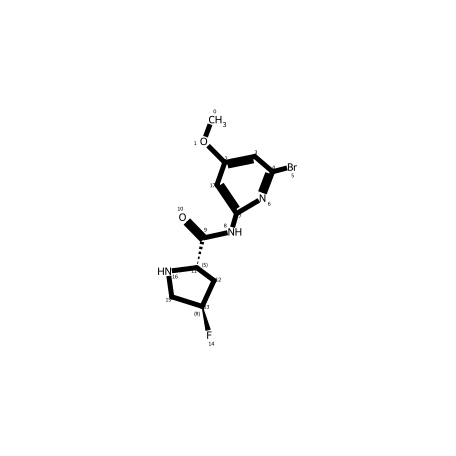 COc1cc(Br)nc(NC(=O)[C@@H]2C[C@@H](F)CN2)c1